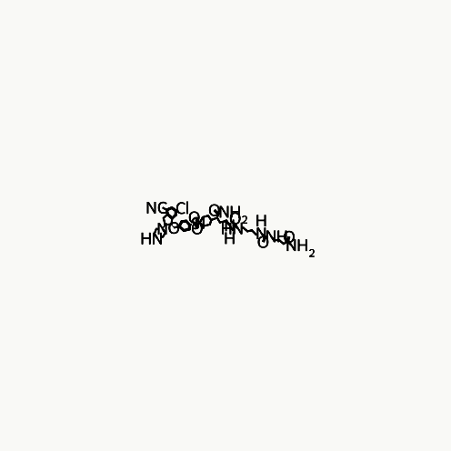 N#Cc1cc(Cl)cc2c1C[C@H](N1CCNCC1)[C@H]2Oc1ccc(S(=O)(=O)N2CCC(C(CCNC(=O)NCCCCNC(=O)NCCCC(N)=O)C(N)=O)CC2)cc1